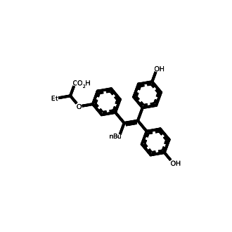 CCCCC(=C(c1ccc(O)cc1)c1ccc(O)cc1)c1cccc(OC(CC)C(=O)O)c1